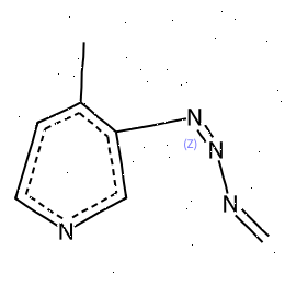 C=N/N=N\c1cnccc1C